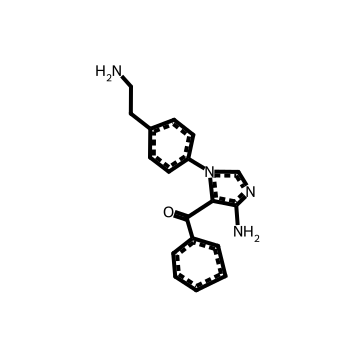 NCCc1ccc(-n2cnc(N)c2C(=O)c2ccccc2)cc1